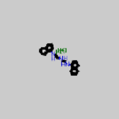 Cl.Cl.c1ccc2c(NCCNCCNc3cccc4ccccc34)cccc2c1